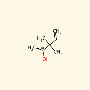 C=CC(C)(C)[C@H](C)O